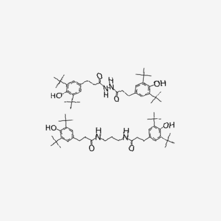 CC(C)(C)c1cc(CCC(=O)NCCCNC(=O)CCc2cc(C(C)(C)C)c(O)c(C(C)(C)C)c2)cc(C(C)(C)C)c1O.CC(C)(C)c1cc(CCC(=O)NNC(=O)CCc2cc(C(C)(C)C)c(O)c(C(C)(C)C)c2)cc(C(C)(C)C)c1O